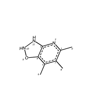 Cc1nc2c(c(C)c1C)ONN2